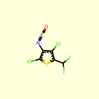 O=C=Nc1c(Cl)sc(C(F)F)c1Cl